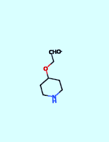 O=[C]COC1CCNCC1